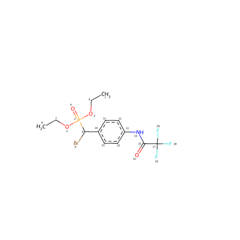 CCOP(=O)(OCC)C(Br)c1ccc(NC(=O)C(F)(F)F)cc1